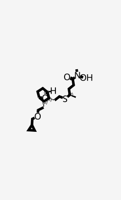 C[C@H](CCC(=O)N(C)O)SCC[C@@H]1[C@H](CCOCC2CC2)C2CC[C@H]1O2